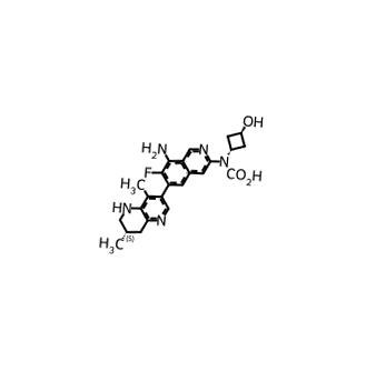 Cc1c(-c2cc3cc(N(C(=O)O)[C@H]4C[C@H](O)C4)ncc3c(N)c2F)cnc2c1NC[C@@H](C)C2